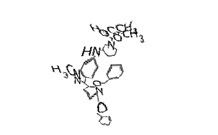 Cn1nc(-c2ccc(OCc3ccccc3)nc2OCc2ccccc2)c2ccc(N[C@H]3CCCN(C(=O)OC(C)(C)C)C3)cc21